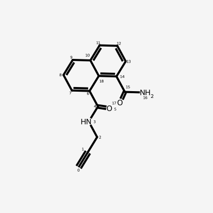 C#CCNC(=O)c1cccc2cccc(C(N)=O)c12